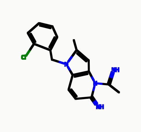 CC(=N)n1c(=N)ccc2c1cc(C)n2Cc1ccccc1Cl